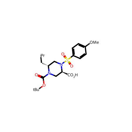 COc1ccc(S(=O)(=O)N2C[C@@H](CC(C)C)N(C(=O)OC(C)(C)C)C[C@@H]2C(=O)O)cc1